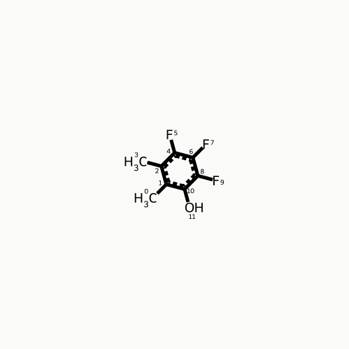 Cc1c(C)c(F)c(F)c(F)c1O